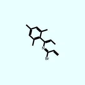 C=C/C(Br)=N\C(=C/C)c1c(C)cc(C)cc1C